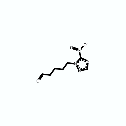 O=CCCCCn1ncnc1[N+](=O)[O-]